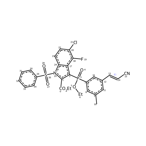 CCOC(=O)c1c(P(=O)(OCC)c2cc(C)cc(/C=C/C#N)c2)c2c(F)c(Cl)ccc2n1S(=O)(=O)c1ccccc1